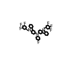 Fc1ccc(N(c2ccc3c(c2)c2ccccc2n3Cc2cc(F)c(F)c(F)c2)c2ccc3c(c2)c2ccccc2n3Cc2cc(F)c(F)c(F)c2)cc1